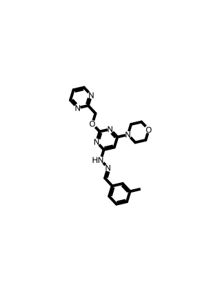 Cc1cccc(C=NNc2cc(N3CCOCC3)nc(OCc3ncccn3)n2)c1